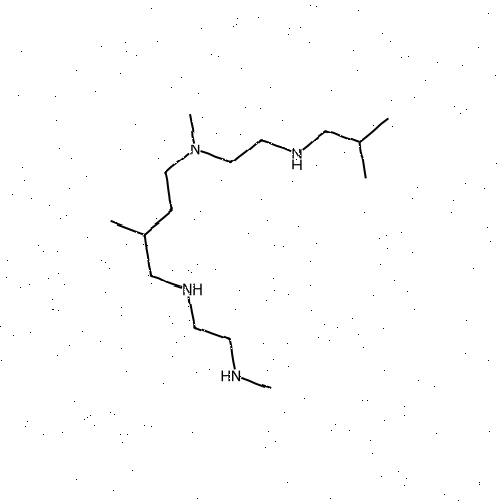 CNCCNCC(C)CCN(C)CCNCC(C)C